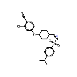 CC(C)c1ccc(S(=O)(=O)/N=C\C2CCC(Oc3ccc(C#N)c(Cl)c3)CC2)cc1